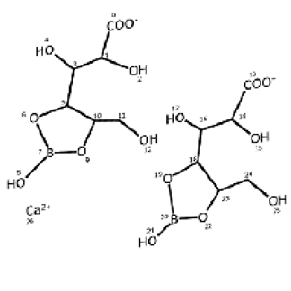 O=C([O-])C(O)C(O)C1OB(O)OC1CO.O=C([O-])C(O)C(O)C1OB(O)OC1CO.[Ca+2]